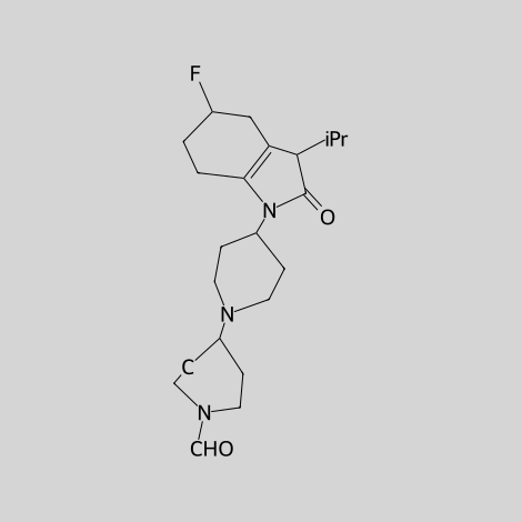 CC(C)C1C(=O)N(C2CCN(C3CCN(C=O)CC3)CC2)C2=C1CC(F)CC2